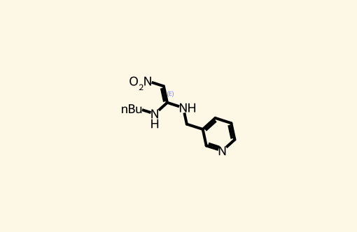 CCCCN/C(=C\[N+](=O)[O-])NCc1cccnc1